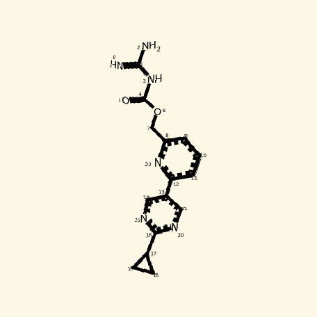 N=C(N)NC(=O)OCc1cccc(-c2cnc(C3CC3)nc2)n1